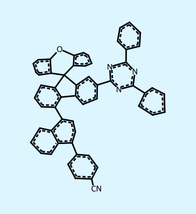 N#Cc1ccc(-c2ccc(-c3cccc4c3-c3ccc(-c5nc(-c6ccccc6)nc(-c6ccccc6)n5)cc3C43c4ccccc4Oc4ccccc43)c3ccccc23)cc1